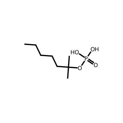 CCCCCC(C)(C)OP(=O)(O)O